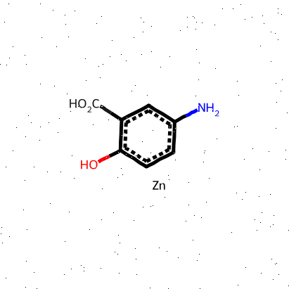 Nc1ccc(O)c(C(=O)O)c1.[Zn]